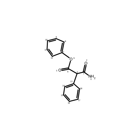 NC(=O)C(C(=O)Oc1ccccc1)c1ccccc1